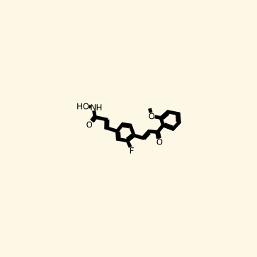 COc1ccccc1C(=O)C=Cc1ccc(C=CC(=O)NO)cc1F